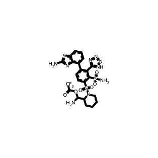 Nc1nc2c(-c3ccc(S(=O)(=O)N4CCCCC4C(N)OC(=O)C(F)(F)F)c(S(N)(=O)=O)c3-c3nnn[nH]3)cccc2s1